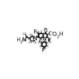 C=Cc1c(C(=O)O)c(=O)c2cc(F)c(N3CCC(C(C)N)C3)cc2n1-c1ccc(F)cc1F